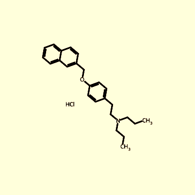 CCCN(CCC)CCc1ccc(OCc2ccc3ccccc3c2)cc1.Cl